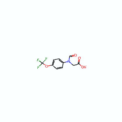 O=CN(CC(=O)O)c1ccc(OC(F)(F)F)cc1